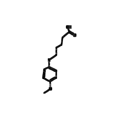 COc1ccc(SCCCCC(=O)O)cc1